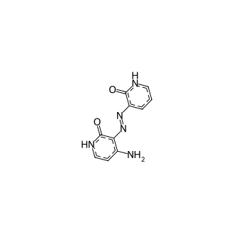 Nc1cc[nH]c(=O)c1N=Nc1ccc[nH]c1=O